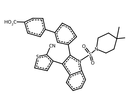 CC1(C)CCN(S(=O)(=O)n2c(-c3cccc(-c4ccc(C(=O)O)cc4)c3)c(-c3ccsc3C#N)c3ccccc32)CC1